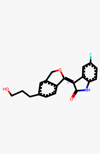 O=C1Nc2ccc(F)cc2/C1=C1\OCc2cc(CCCO)ccc21